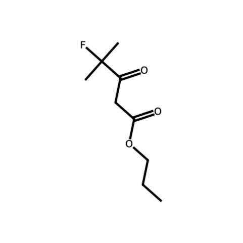 CCCOC(=O)CC(=O)C(C)(C)F